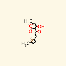 Cc1cc(O)c(C(=O)/C=C/c2ccc(C)s2)c(=O)o1